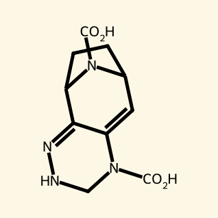 O=C(O)N1CNN=C2C1=CC1CCC2N1C(=O)O